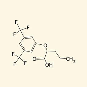 CCCC(Oc1cc(C(F)(F)F)cc(C(F)(F)F)c1)C(=O)O